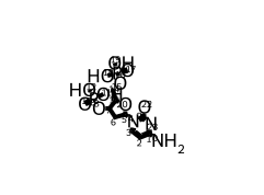 Nc1ccn(C2CC(OP(=O)(O)O)C(COP(=O)(O)O)O2)c(=O)n1